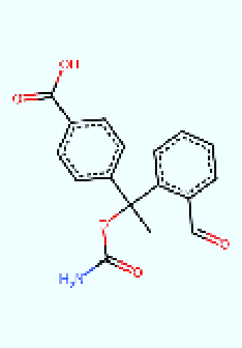 CC(OC(N)=O)(c1ccc(C(=O)O)cc1)c1ccccc1C=O